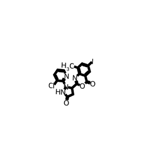 Cc1cc(I)cc2c(=O)oc(C3CC(=O)NN3c3ncccc3Cl)nc12